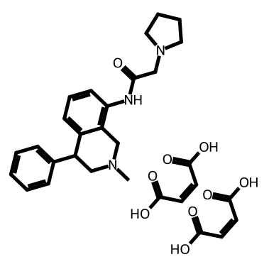 CN1Cc2c(NC(=O)CN3CCCC3)cccc2C(c2ccccc2)C1.O=C(O)/C=C\C(=O)O.O=C(O)/C=C\C(=O)O